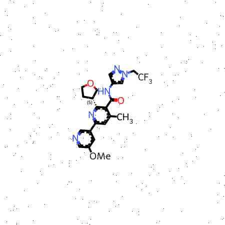 COc1cncc(-c2cc(C)c(C(=O)Nc3cnn(CC(F)(F)F)c3)c([C@@H]3CCOC3)n2)c1